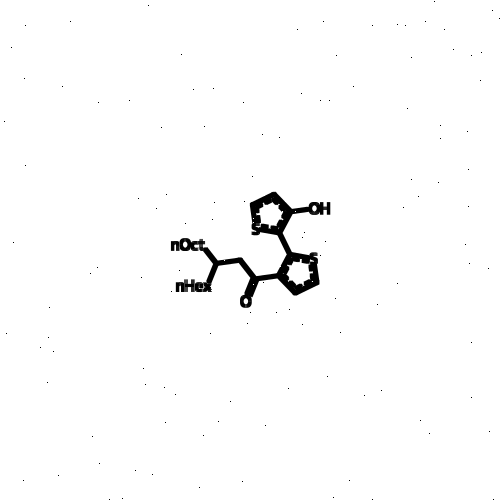 CCCCCCCCC(CCCCCC)CC(=O)c1ccsc1-c1sccc1O